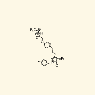 CCCn1c(CCCc2ccc(OCC(=O)NS(=O)(=O)C(F)(F)F)cc2)nn(Cc2ccc(C)cc2)c1=O